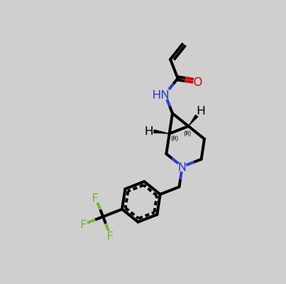 C=CC(=O)NC1[C@H]2CN(Cc3ccc(C(F)(F)F)cc3)CC[C@@H]12